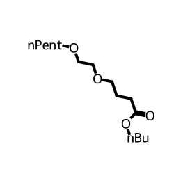 CCCCCOCCOCCCC(=O)OCCCC